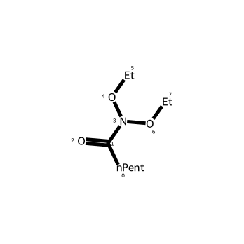 CCCCCC(=O)N(OCC)OCC